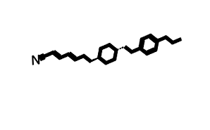 CCCc1ccc(CC[C@H]2CC[C@H](CC/C=C/C=C/C#N)CC2)cc1